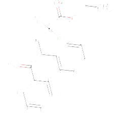 CCOC(=O)C(F)(F)CC(C(=O)c1ccccc1)c1ccccc1